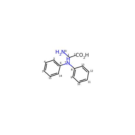 NCC(=O)O.c1ccc(Nc2ccccc2)cc1